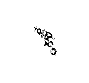 CC(F)(F)c1ccc(S(=O)(=O)n2nc(N3CCN(c4ncc(F)cn4)CC34CC4)c3c(Cl)ccc(F)c32)cc1